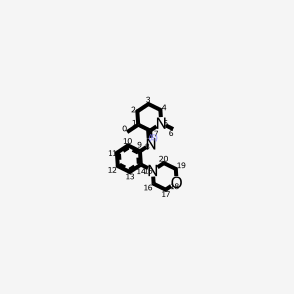 CC1CCCN(C)/C1=N/c1ccccc1N1CCOCC1